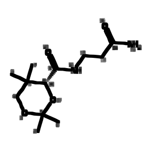 CC1(C)OCC(C)(C)[C@H](C(=O)NCCC(N)=O)O1